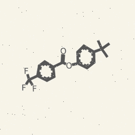 CC(C)(C)c1ccc(OC(=O)c2ccc(C(F)(F)F)cc2)cc1